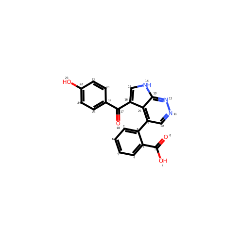 O=C(O)c1ccccc1-c1cnnc2[nH]cc(C(=O)c3ccc(O)cc3)c12